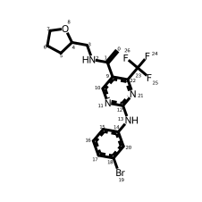 C=C(NCC1CCCO1)c1cnc(Nc2cccc(Br)c2)nc1C(F)(F)F